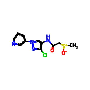 C[S+]([O-])CC(=O)Nc1cn(-c2cccnc2)nc1Cl